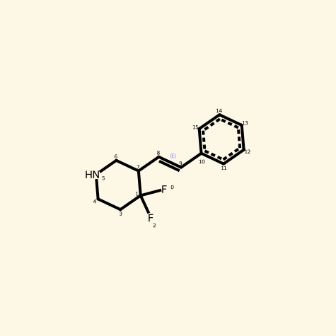 FC1(F)CCNCC1/C=C/c1ccccc1